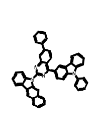 c1ccc(-c2ccc3c(-c4ccc5c(c4)c4ccccc4n5-c4ccccc4)nc(-n4c5ccccc5c5cc6ccccc6cc54)nc3c2)cc1